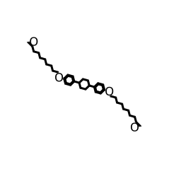 c1cc(C2CCC(c3ccc(OCCCCCCCCC4CO4)cc3)CC2)ccc1OCCCCCCCCC1CO1